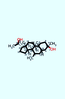 CC1C[C@H]2C[C@](C)(O)CC[C@]2(C)[C@H]2CC[C@]3(C)[C@@H](C(C)O)CC[C@H]3[C@H]12